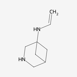 C=CNC12CNCC(C1)C2